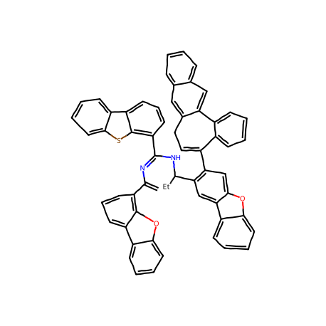 C=C(/N=C(\NC(CC)c1cc2c(cc1C1=CCc3cc4ccccc4cc3-c3ccccc31)oc1ccccc12)c1cccc2c1sc1ccccc12)c1cccc2c1oc1ccccc12